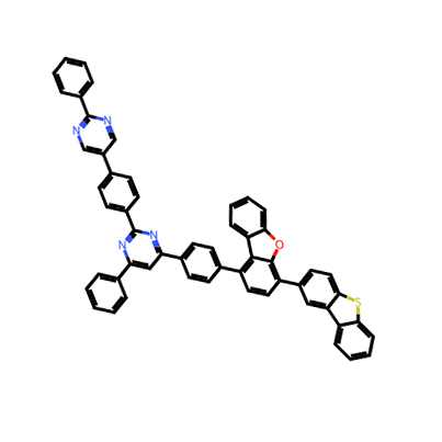 c1ccc(-c2cc(-c3ccc(-c4ccc(-c5ccc6sc7ccccc7c6c5)c5oc6ccccc6c45)cc3)nc(-c3ccc(-c4cnc(-c5ccccc5)nc4)cc3)n2)cc1